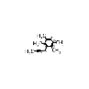 [CH2]C#CCc1c(C)c(C)cc(C)c1C